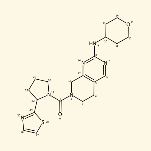 O=C(N1CCc2cnc(NC3CCOCC3)nc2C1)N1CCCC1c1nccs1